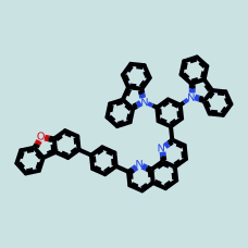 c1ccc2c(c1)oc1ccc(-c3ccc(-c4ccc5ccc6ccc(-c7cc(-n8c9ccccc9c9ccccc98)cc(-n8c9ccccc9c9ccccc98)c7)nc6c5n4)cc3)cc12